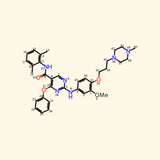 COc1cc(Nc2ncc(C(=O)Nc3c(C)cccc3C)c(Oc3ccccc3)n2)ccc1OCCCN1CCN(C)CC1